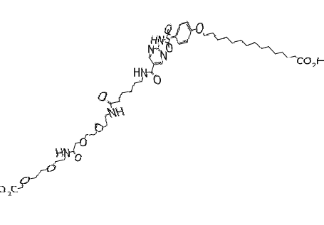 O=C(O)CCCCCCCCCCCCCCOc1ccc(S(=O)(=O)Nc2ncc(C(=O)NCCCCCC(=O)NCCOCCOCC(=O)NCCOCCOCC(=O)O)cn2)cc1